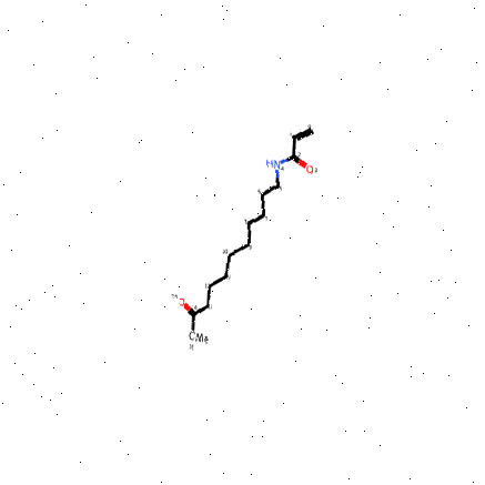 C=CC(=O)NCCCCCCCCCC(=O)OC